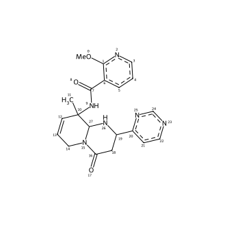 COc1ncccc1C(=O)NC1(C)C=CCN2C(=O)CC(c3ccncn3)NC21